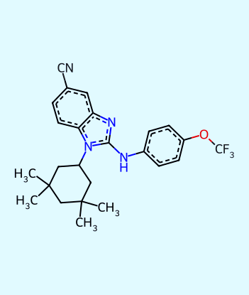 CC1(C)CC(n2c(Nc3ccc(OC(F)(F)F)cc3)nc3cc(C#N)ccc32)CC(C)(C)C1